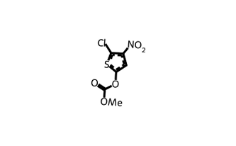 COC(=O)Oc1cc([N+](=O)[O-])c(Cl)s1